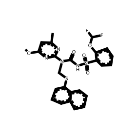 COc1cc(C)nc(N(CSc2cccc3ccccc23)C(=O)NS(=O)(=O)c2ccccc2OC(F)F)n1